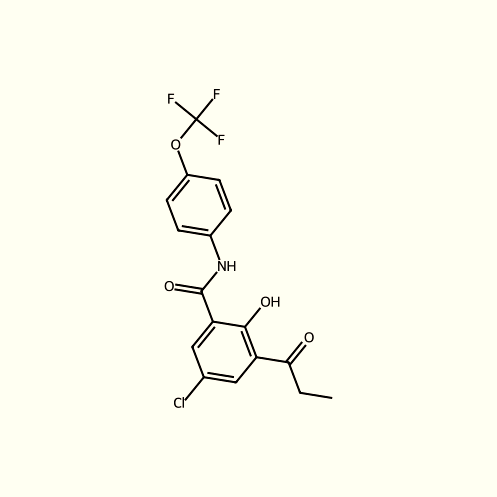 CCC(=O)c1cc(Cl)cc(C(=O)Nc2ccc(OC(F)(F)F)cc2)c1O